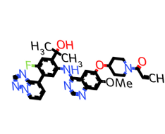 C=CC(=O)N1CCC(Oc2cc3c(Nc4cc(-c5cccn6ncnc56)c(F)cc4C(C)(C)O)ncnc3cc2OC)CC1